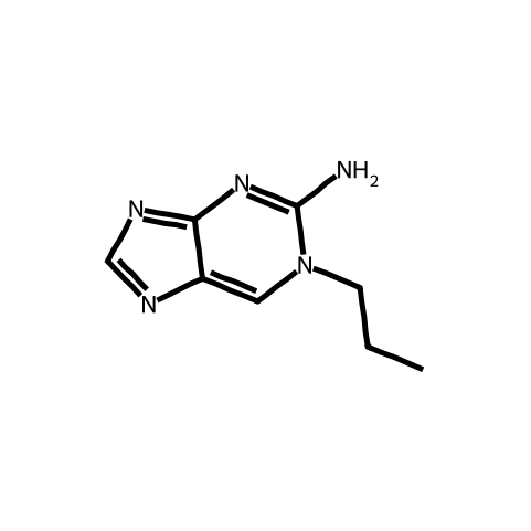 CCCn1cc2ncnc-2nc1N